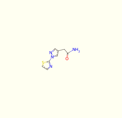 NC(=O)Cc1cnn(-c2nccs2)c1